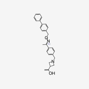 C=C(O)C1CN(Cc2ccc(/C(C)=N/OCc3ccc(-c4ccccc4)cc3)cc2)C1